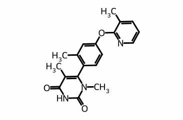 Cc1cc(Oc2ncccc2C)ccc1-c1c(C)c(=O)[nH]c(=O)n1C